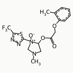 Cc1ccccc1OCC(=O)OC1CN(C)C[N+]1([O-])c1nnc(C(F)(F)F)s1